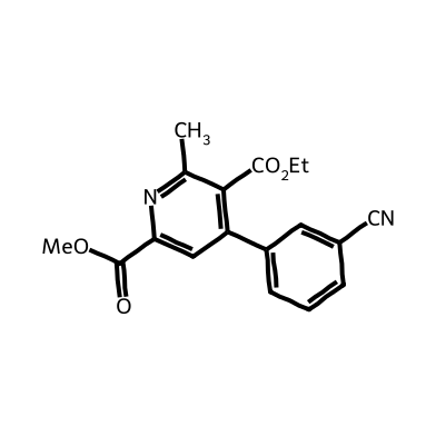 CCOC(=O)c1c(-c2cccc(C#N)c2)cc(C(=O)OC)nc1C